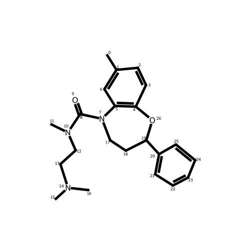 Cc1ccc2c(c1)N(C(=O)N(C)CCN(C)C)CCC(c1ccccc1)O2